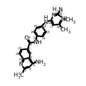 Cc1cc(N)c2cc(C(=O)Nc3ccc(Nc4cc(C)[n+](C)c(N)n4)cc3)ccc2n1